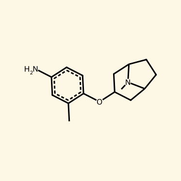 Cc1cc(N)ccc1OC1CC2CCC(C1)N2C